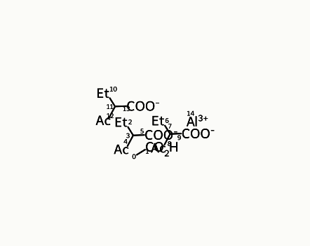 CC(=O)O.CCC(C(C)=O)C(=O)[O-].CCC(C(C)=O)C(=O)[O-].CCC(C(C)=O)C(=O)[O-].[Al+3]